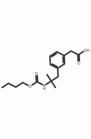 CCCCOC(=O)NC(C)(C)Cc1cccc(CC(=O)O)c1